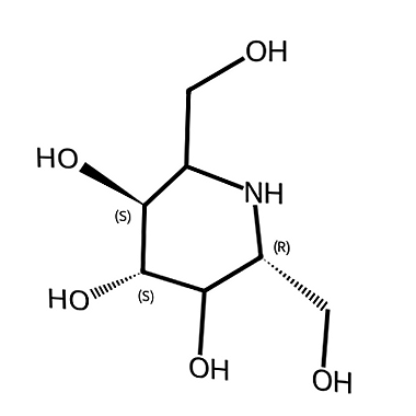 OCC1N[C@H](CO)C(O)[C@H](O)[C@H]1O